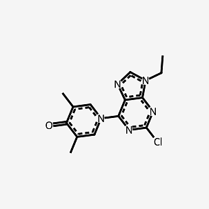 CCn1cnc2c(-n3cc(C)c(=O)c(C)c3)nc(Cl)nc21